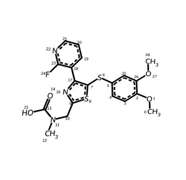 COc1ccc(Sc2sc(CN(C)C(=O)O)nc2-c2cccnc2F)cc1OC